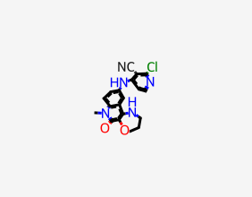 Cn1c(=O)c2c(c3cc(Nc4ccnc(Cl)c4C#N)ccc31)NCCCO2